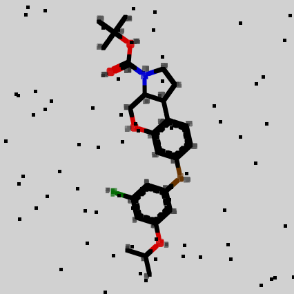 CC(C)Oc1cc(F)cc(Sc2ccc3c(c2)OCC2C3CCN2C(=O)OC(C)(C)C)c1